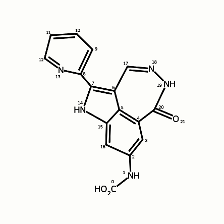 O=C(O)Nc1cc2c3c(c(-c4ccccn4)[nH]c3c1)C=NNC2=O